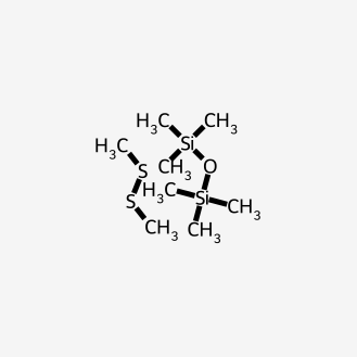 CSSC.C[Si](C)(C)O[Si](C)(C)C